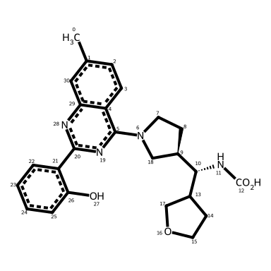 Cc1ccc2c(N3CC[C@@H]([C@H](NC(=O)O)C4CCOC4)C3)nc(-c3ccccc3O)nc2c1